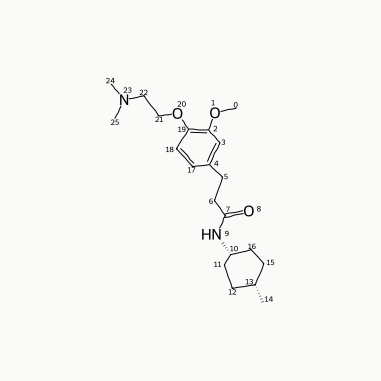 COc1cc(CCC(=O)N[C@H]2CC[C@@H](C)CC2)ccc1OCCN(C)C